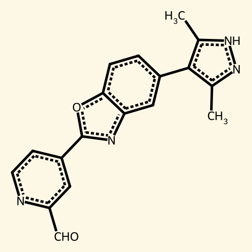 Cc1n[nH]c(C)c1-c1ccc2oc(-c3ccnc(C=O)c3)nc2c1